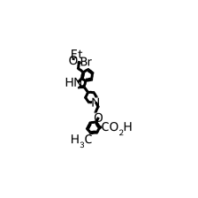 CCOC(Br)Cc1cccc2c(C3CCN(CCOc4ccc(C)cc4C(=O)O)CC3)c[nH]c12